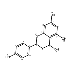 Oc1ccc(C2CC(O)c3c(O)cc(O)cc3O2)cc1